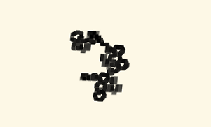 COc1cc(OCc2cccc(-c3cccc(OCCCn4cc(CN5CCCC[C@H]5C(=O)O)nn4)c3C)c2C)c(Cl)cc1CN1CCCC[C@H]1C(=O)O